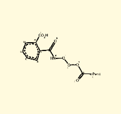 CCCCCC(=O)OOONC(=O)c1ccccc1C(=O)O